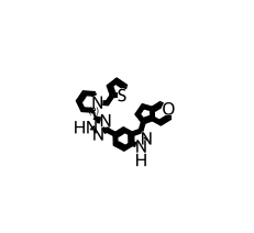 C1=CCN(Cc2cccs2)[C@@H](c2nc(-c3ccc4[nH]nc(C5=C6C=COC=C6CC5)c4c3)n[nH]2)C1